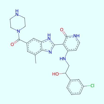 Cc1cc(C(=O)N2CCNCC2)cc2[nH]c(-c3c(NCC(O)c4cccc(Cl)c4)cc[nH]c3=O)nc12